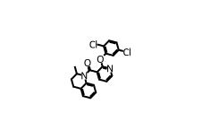 CC1CCc2ccccc2N1C(=O)c1cccnc1Oc1cc(Cl)ccc1Cl